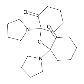 O=C1CCCCC1(OC1(N2CCCC2)CCCCC1=O)N1CCCC1